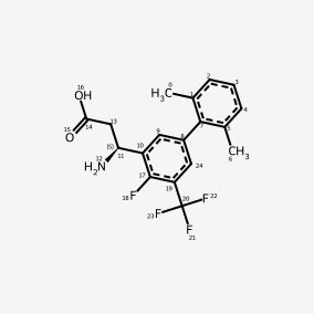 Cc1cccc(C)c1-c1cc([C@@H](N)CC(=O)O)c(F)c(C(F)(F)F)c1